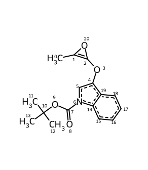 CC1=C(Oc2cn(C(=O)OC(C)(C)C)c3ccccc23)O1